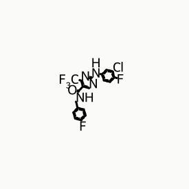 O=C(NCc1ccc(F)cc1)c1cnc(Nc2ccc(F)c(Cl)c2)nc1C(F)(F)F